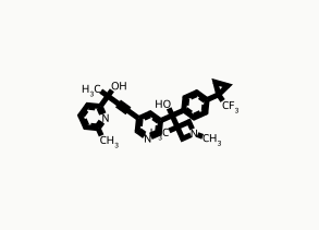 Cc1cccc(C(C)(O)C#Cc2cncc(C(O)(c3ccc(C4(C(F)(F)F)CC4)cc3)C3(C)CN(C)C3)c2)n1